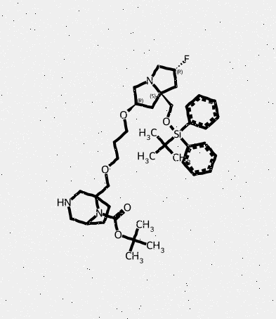 CC(C)(C)OC(=O)N1C2CCC1(COCCCO[C@H]1CN3C[C@H](F)C[C@]3(CO[Si](c3ccccc3)(c3ccccc3)C(C)(C)C)C1)CNC2